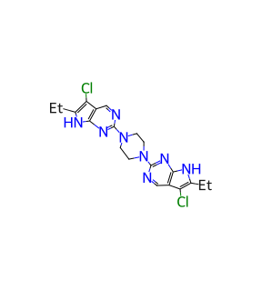 CCc1[nH]c2nc(N3CCN(c4ncc5c(Cl)c(CC)[nH]c5n4)CC3)ncc2c1Cl